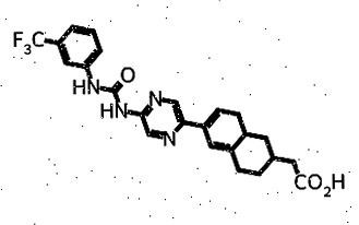 O=C(O)CC1CCC2=CC(c3cnc(NC(=O)Nc4cccc(C(F)(F)F)c4)cn3)=CCC2C1